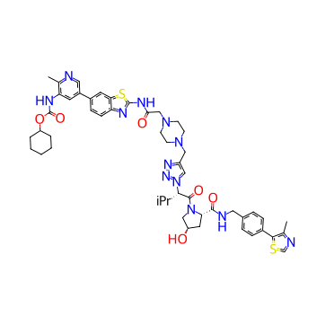 Cc1ncc(-c2ccc3nc(NC(=O)CN4CCN(Cc5cn([C@H](C(=O)N6C[C@H](O)C[C@H]6C(=O)NCc6ccc(-c7scnc7C)cc6)C(C)C)nn5)CC4)sc3c2)cc1NC(=O)OC1CCCCC1